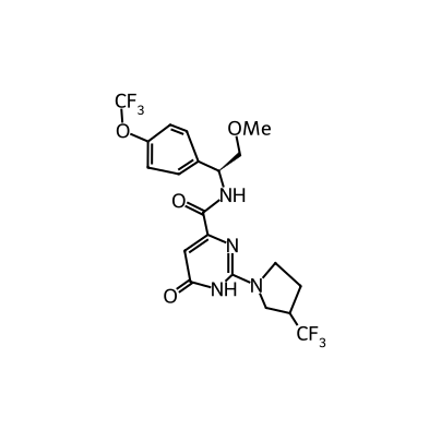 COC[C@@H](NC(=O)c1cc(=O)[nH]c(N2CCC(C(F)(F)F)C2)n1)c1ccc(OC(F)(F)F)cc1